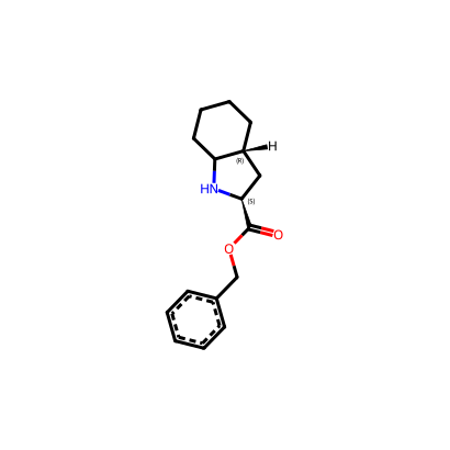 O=C(OCc1ccccc1)[C@@H]1C[C@H]2CCCCC2N1